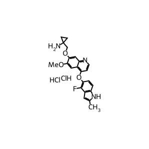 COc1cc2c(Oc3ccc4[nH]c(C)cc4c3F)ccnc2cc1OCC1(N)CC1.Cl.Cl